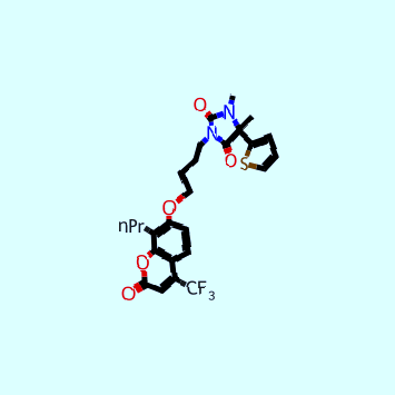 CCCc1c(OCCCCN2C(=O)N(C)C(C)(c3cccs3)C2=O)ccc2c(C(F)(F)F)cc(=O)oc12